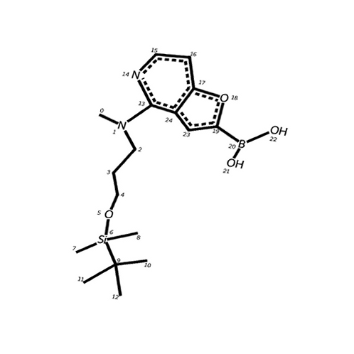 CN(CCCO[Si](C)(C)C(C)(C)C)c1nccc2oc(B(O)O)cc12